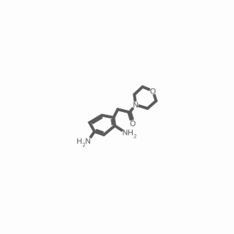 Nc1ccc(CC(=O)N2CCOCC2)c(N)c1